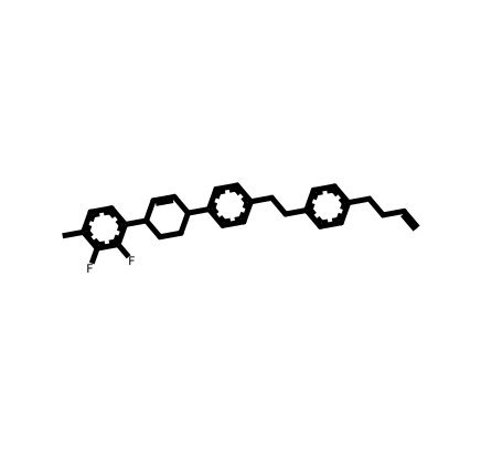 C=CCCc1ccc(CCc2ccc(C3C=CC(c4ccc(C)c(F)c4F)CC3)cc2)cc1